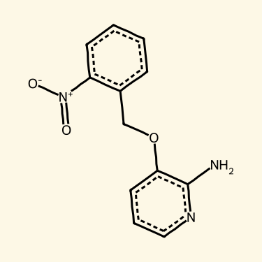 Nc1ncccc1OCc1ccccc1[N+](=O)[O-]